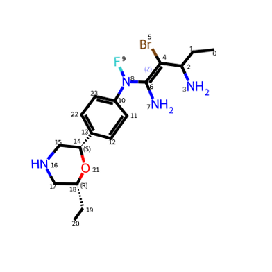 CCC(N)/C(Br)=C(\N)N(F)c1ccc([C@H]2CNC[C@@H](CC)O2)cc1